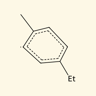 CCc1c[c]c(C)cc1